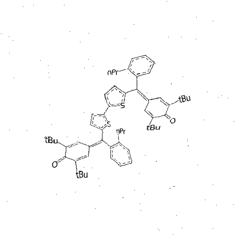 CCCc1ccccc1C(=C1C=C(C(C)(C)C)C(=O)C(C(C)(C)C)=C1)c1ccc(-c2ccc(C(=C3C=C(C(C)(C)C)C(=O)C(C(C)(C)C)=C3)c3ccccc3CCC)s2)s1